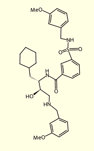 COc1cccc(CNC[C@@H](O)[C@H](CC2CCCCC2)NC(=O)c2cccc(S(=O)(=O)NCc3cccc(OC)c3)c2)c1